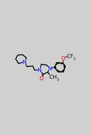 CC1C(=O)N(CCCN2CCCCC2)CCN1c1cccc(OC(F)(F)F)c1